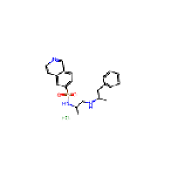 CC(Cc1ccccc1)NC[C@@H](C)NS(=O)(=O)c1ccc2cnccc2c1.Cl